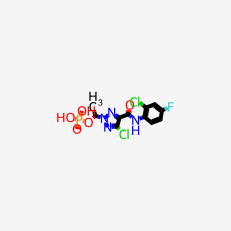 CC(OP(=O)(O)O)n1nc(Cl)c(C(=O)Nc2ccc(F)cc2Cl)n1